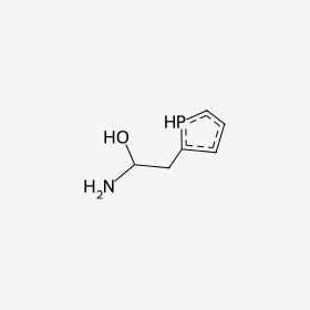 NC(O)Cc1ccc[pH]1